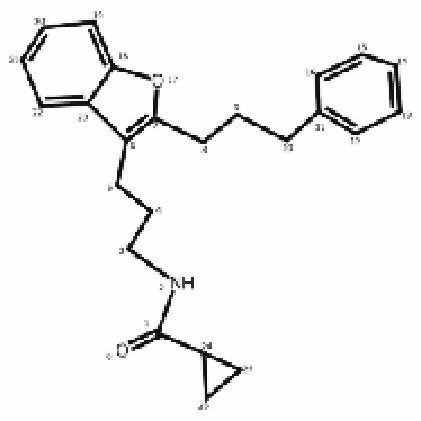 O=C(NCCCc1c(CCCc2ccccc2)oc2ccccc12)C1CC1